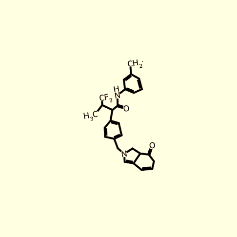 [CH2]c1cccc(NC(=O)C(c2ccc(CN3C=C4C=CCC(=O)C4C3)cc2)C(C)C(F)(F)F)c1